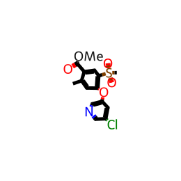 COC(=O)c1cc(S(C)(=O)=O)c(Oc2cncc(Cl)c2)cc1C